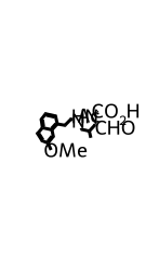 COc1ccc2cccc(CCN(CC(C)C(C=O)NC(=O)O)C(C)=O)c2c1